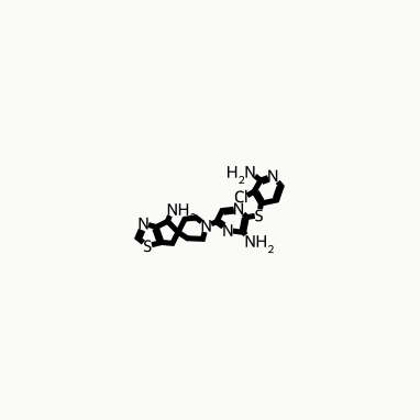 Nc1nc(N2CCC3(CC2)Cc2scnc2C3N)cnc1Sc1ccnc(N)c1Cl